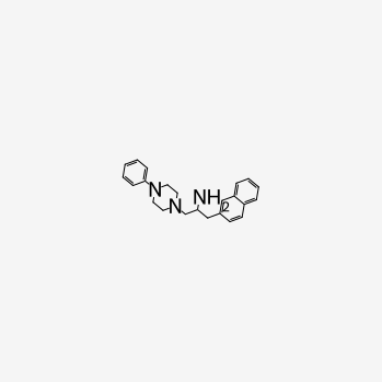 NC(Cc1ccc2ccccc2c1)CN1CCN(c2ccccc2)CC1